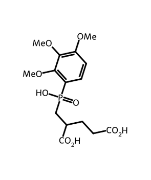 COc1ccc(P(=O)(O)CC(CCC(=O)O)C(=O)O)c(OC)c1OC